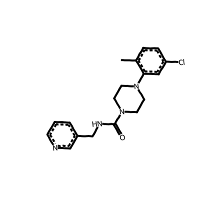 Cc1ccc(Cl)cc1N1CCN(C(=O)NCc2cccnc2)CC1